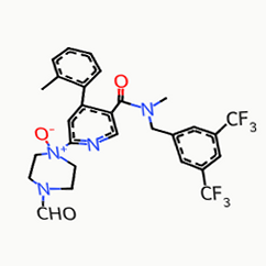 Cc1ccccc1-c1cc([N+]2([O-])CCN(C=O)CC2)ncc1C(=O)N(C)Cc1cc(C(F)(F)F)cc(C(F)(F)F)c1